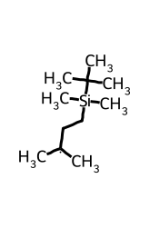 C[C](C)CC[Si](C)(C)C(C)(C)C